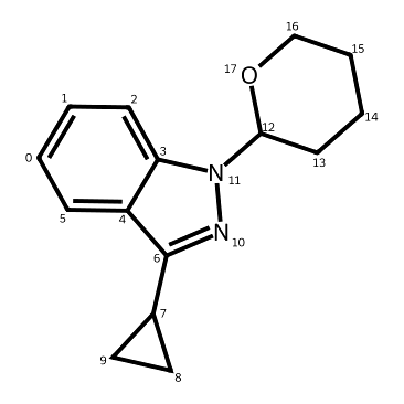 c1ccc2c(c1)c(C1CC1)nn2C1CCCCO1